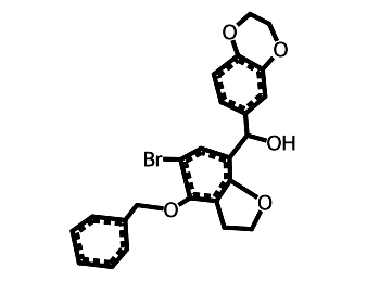 OC(c1ccc2c(c1)OCCO2)c1cc(Br)c(OCc2ccccc2)c2c1OCC2